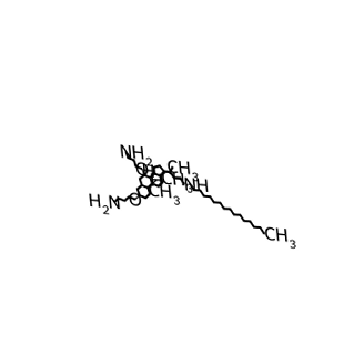 CCCCCCCCCCCCCCCCNCCCC(C)C1CC[C@H]2C3[C@H](OCCCN)CC4C[C@H](OCCCN)CC[C@]4(C)[C@H]3CC[C@]12C